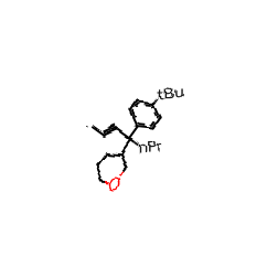 [CH2]C=CC(CCC)(c1ccc(C(C)(C)C)cc1)C1CCCOC1